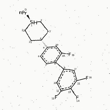 CCC[Si@H]1CC[C@H](c2ccc(-c3cc(F)c(F)c(F)c3)c(F)c2)CC1